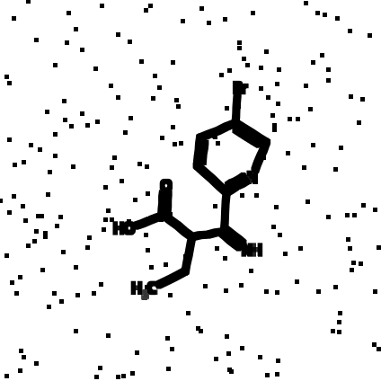 CCC(C(=N)c1ccc(Br)cn1)C(=O)O